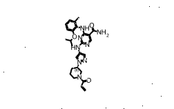 C=CC(=O)N1CCC[C@@H](n2cc(Nc3ncc(C(N)=O)c(Nc4c(C)cccc4OC(C)C)n3)cn2)C1